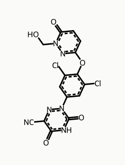 N#Cc1nn(-c2cc(Cl)c(Oc3ccc(=O)n(CO)n3)c(Cl)c2)c(=O)[nH]c1=O